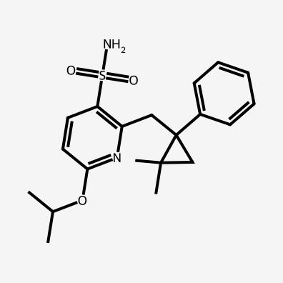 CC(C)Oc1ccc(S(N)(=O)=O)c(CC2(c3ccccc3)CC2(C)C)n1